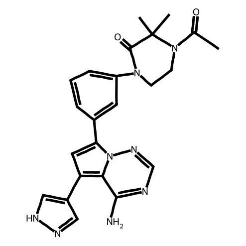 CC(=O)N1CCN(c2cccc(-c3cc(-c4cn[nH]c4)c4c(N)ncnn34)c2)C(=O)C1(C)C